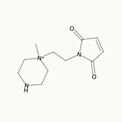 C[N+]1(CCN2C(=O)C=CC2=O)CCNCC1